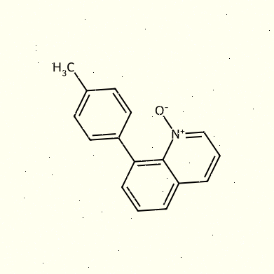 Cc1ccc(-c2cccc3ccc[n+]([O-])c23)cc1